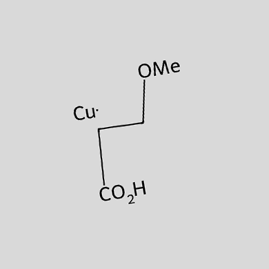 COCCC(=O)O.[Cu]